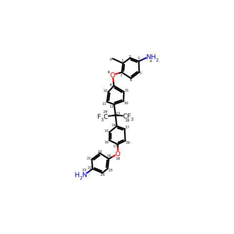 Cc1cc(N)ccc1Oc1ccc(C(c2ccc(Oc3ccc(N)cc3)cc2)(C(F)(F)F)C(F)(F)F)cc1